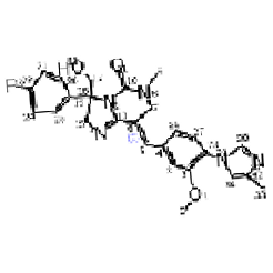 COc1cc(/C=C2\CN(C)C(=O)N3C2=NCC3(CO)c2ccc(F)cc2)ccc1-n1cnc(C)c1